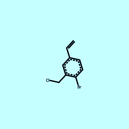 C=Cc1ccc(Br)c(CCl)c1